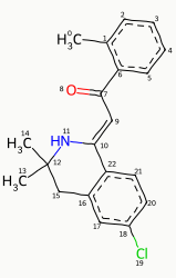 Cc1ccccc1C(=O)C=C1NC(C)(C)Cc2cc(Cl)ccc21